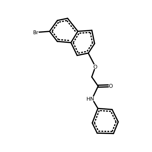 O=C(COc1ccc2ccc(Br)cc2c1)Nc1ccccc1